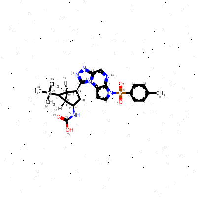 Cc1ccc(S(=O)(=O)n2ccc3c2ncc2nnc([C@H]4C[C@@H](NC(=O)O)[C@@H]5C([Si](C)(C)C)[C@@H]54)n23)cc1